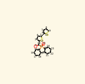 O=C(c1ccc(-c2cccs2)s1)P1(=O)c2ccccc2-c2ccccc21